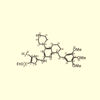 CCOC(=O)c1sc(Nc2nc(N3CCNCC3)c3c(n2)N(Cc2cc(OC)c(OC)c(OC)c2)CCC3)nc1C